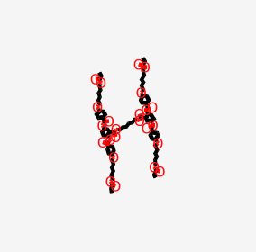 C=CC(=O)OCCCCCCOc1ccc(C(=O)Oc2ccc(OC(=O)c3ccc(OCCCCCCOC(=O)C=C)cc3)c(C(=O)OCCCCCCOC(=O)c3cc(OC(=O)c4ccc(OCCCCCCOC(=O)C=C)cc4)ccc3OC(=O)c3ccc(OCCCCCCOC(=O)C=C)cc3)c2)cc1